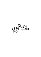 O=C(NC(CO)c1ccccc1)c1sccc1Nc1ccnc2[nH]ccc12